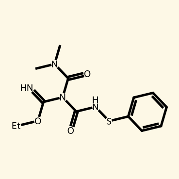 CCOC(=N)N(C(=O)NSc1ccccc1)C(=O)N(C)C